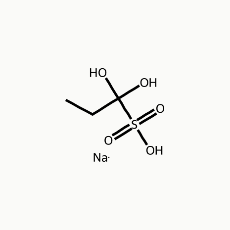 CCC(O)(O)S(=O)(=O)O.[Na]